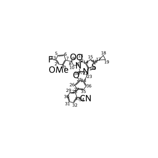 COc1cc(F)ccc1C(=O)Cn1c(=O)c2cc(C3CC3)sc2n(Cc2ccc(-c3ccccc3C#N)cc2)c1=O